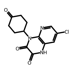 O=C1CCC(n2c(=O)c(=O)[nH]c3cc(Cl)cnc32)CC1